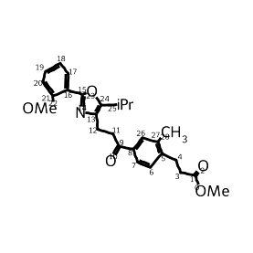 COC(=O)CCc1ccc(C(=O)CCc2nc(-c3ccccc3OC)oc2C(C)C)cc1C